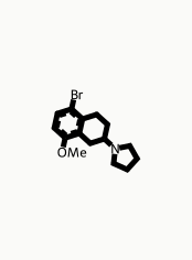 COc1ccc(Br)c2c1CC(N1CCCC1)CC2